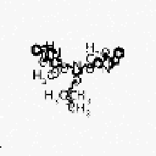 COc1cc2c(cc1OCc1cc(OCCCC(C)(C)SSC)cc(COc3cc4c(cc3C)C(=O)N3c5ccccc5CC3C=N4)n1)N=C[C@@H]1Cc3ccccc3N1C2=O